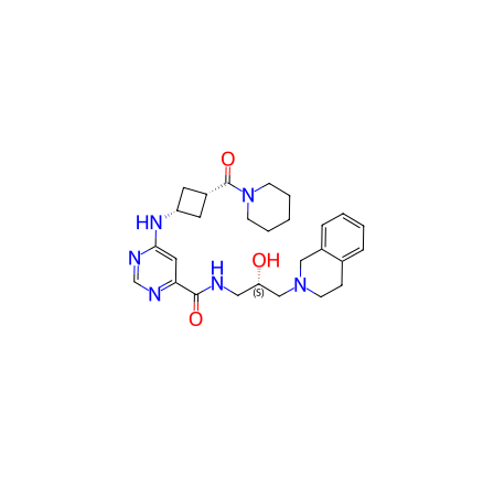 O=C(NC[C@H](O)CN1CCc2ccccc2C1)c1cc(N[C@H]2C[C@@H](C(=O)N3CCCCC3)C2)ncn1